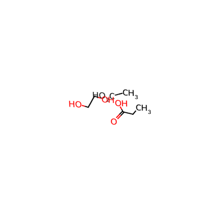 CC(=O)O.CCC(=O)O.OCCO